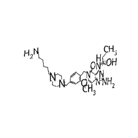 CCC[C@@H](CO)Nc1nc(N)nc2ccn(Cc3ccc(CN4CCN(CCCCCCN)CC4)cc3OC)c(=O)c12